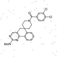 CNc1ncc2c(n1)-c1ccccc1C1(CCN(C(=O)c3ccc(Cl)c(Cl)c3)CC1)C2